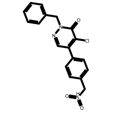 O=c1c(Cl)c(-c2ccc(C[SH](=O)=O)cc2)cnn1Cc1ccccc1